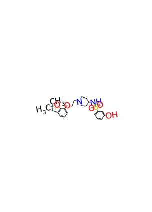 CC1(C)Cc2cccc(OCCN3CCC(NS(=O)(=O)c4cccc(O)c4)CC3)c2O1